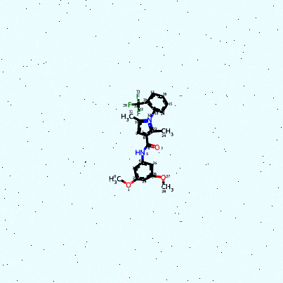 COc1cc(NC(=O)c2cc(C)n(-c3ccccc3C(F)(F)F)c2C)cc(OC)c1